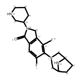 O=C1c2cc(F)c(N3CC4CCC(C3)N4)c(F)c2CN1C1CCCNC1